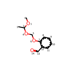 COC(C)OCOc1ccccc1C=O